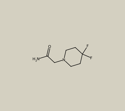 NC(=O)CN1CCC(F)(F)CC1